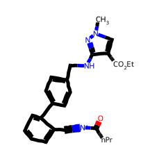 CCCC(=O)[N+]#Cc1ccccc1-c1ccc(CNc2nn(C)cc2C(=O)OCC)cc1